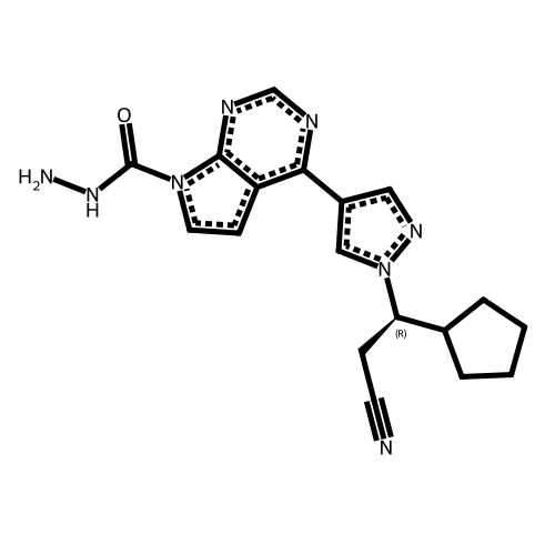 N#CC[C@H](C1CCCC1)n1cc(-c2ncnc3c2ccn3C(=O)NN)cn1